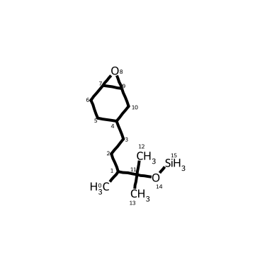 CC(CCC1CCC2OC2C1)C(C)(C)O[SiH3]